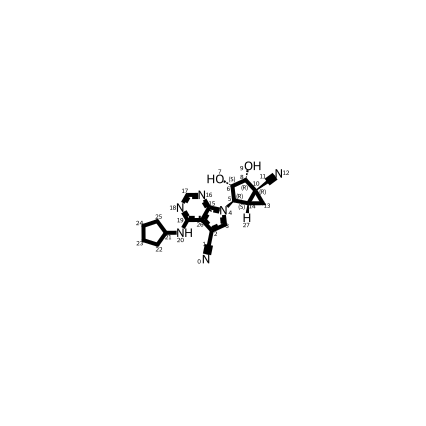 N#Cc1cn([C@H]2[C@H](O)[C@H](O)[C@]3(C#N)C[C@H]23)c2ncnc(NC3CCCC3)c12